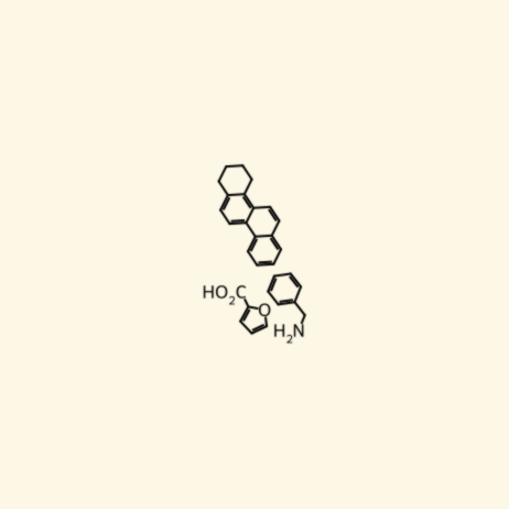 NCc1ccccc1.O=C(O)c1ccco1.c1ccc2c(c1)ccc1c3c(ccc12)CCCC3